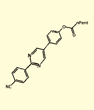 CCCCCC(=O)Oc1ccc(-c2cnc(-c3ccc(C#N)cc3)nc2)cc1